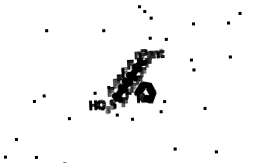 CCCCCC(F)C(F)(F)C(F)(F)C(F)(F)C(F)(F)C(F)(F)S(=O)(=O)O.c1ccncc1